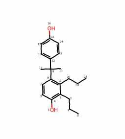 CCCc1c(O)ccc(C(C)(C)c2ccc(O)cc2)c1CCC